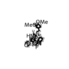 COc1ccc(CCN(C)C(=O)[C@H](C)Nc2nc(N3CCOCC3)cc(-n3c(C(F)F)nc4ccccc43)n2)cc1OC